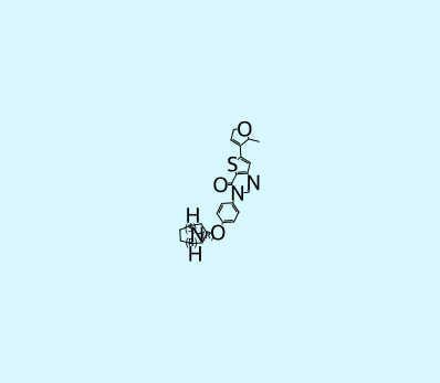 CC1OCC=C1c1cc2ncn(-c3ccc(O[C@H]4C[C@H]5CC[C@@H](C4)N5C)cc3)c(=O)c2s1